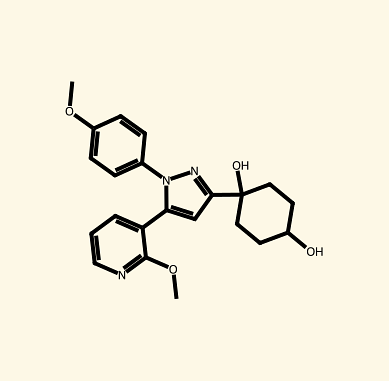 COc1ccc(-n2nc(C3(O)CCC(O)CC3)cc2-c2cccnc2OC)cc1